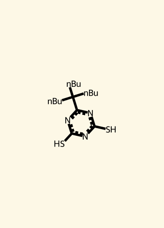 CCCCC(CCCC)(CCCC)c1nc(S)nc(S)n1